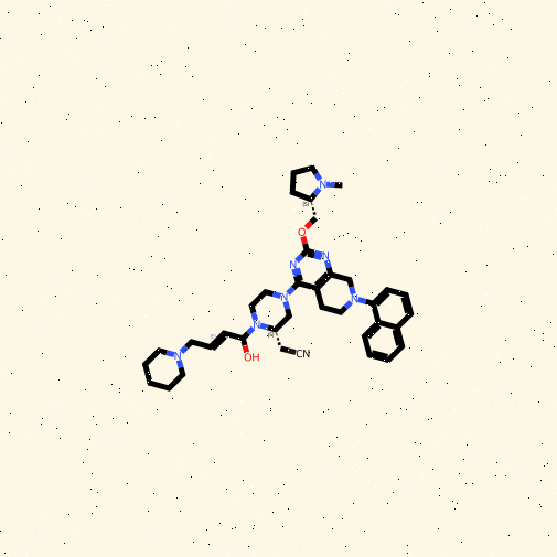 CN1CCC[C@H]1COc1nc2c(c(N3CCN(C(O)/C=C/CN4CCCCC4)[C@@H](CC#N)C3)n1)CCN(c1cccc3ccccc13)C2